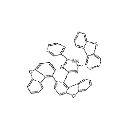 c1ccc(C2=NC(c3c(-c4cccc5oc6ccccc6c45)ccc4oc5ccccc5c34)=NC(c3cccc4sc5ccccc5c34)N2)cc1